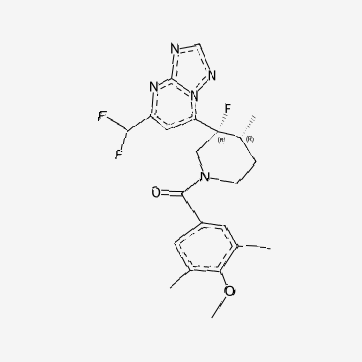 COc1c(C)cc(C(=O)N2CC[C@@H](C)[C@](F)(c3cc(C(F)F)nc4ncnn34)C2)cc1C